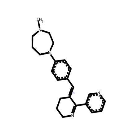 CN1CCCN(c2ccc(/C=C3\CCCN=C3c3cccnc3)cc2)CC1